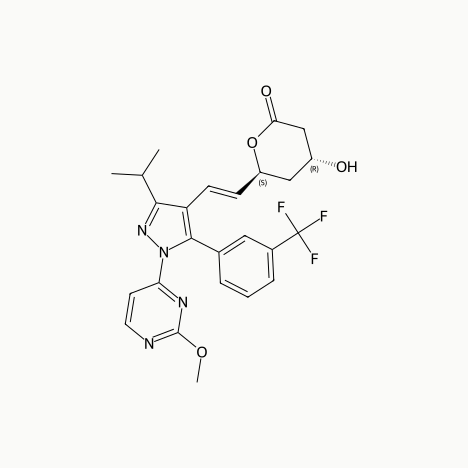 COc1nccc(-n2nc(C(C)C)c(C=C[C@@H]3C[C@@H](O)CC(=O)O3)c2-c2cccc(C(F)(F)F)c2)n1